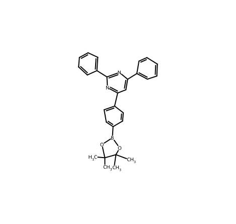 CC1(C)OB(c2ccc(-c3cc(-c4ccccc4)nc(-c4ccccc4)n3)cc2)OC1(C)C